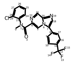 CN(C(=O)c1cn2c(-c3ccc(C(F)(F)F)cc3)cnc2cn1)c1ccccc1Cl